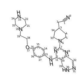 N#CCC1CCN(c2nc3c(c(Nc4ccc(OCCN5CCNCC5)cc4)n2)CNN=C3)CC1